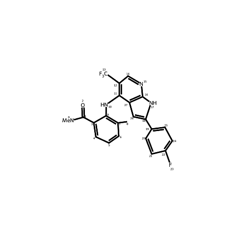 CNC(=O)c1cccc(C)c1Nc1c(C(F)(F)F)cnc2[nH]c(-c3ccc(F)cc3)cc12